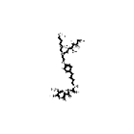 CCCCCCN(CCOc1ccc(CCCCNC(=N)NC(=O)c2nc(N)c(N)nc2Cl)cc1)C[C@H](O)[C@@H](O)[C@H](O)[C@H](O)CO